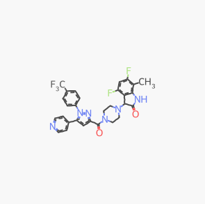 Cc1c(F)cc(F)c2c1NC(=O)C2N1CCN(C(=O)c2cc(-c3ccncc3)n(-c3ccc(C(F)(F)F)cc3)n2)CC1